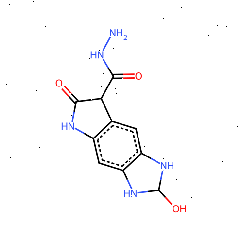 NNC(=O)C1C(=O)Nc2cc3c(cc21)NC(O)N3